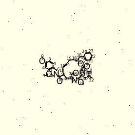 COc1ccc(CN(C)C(=O)C2C/C=C/CCC(Cc3ccccc3)OC(=O)N[C@@H](CC(C)C)C(=O)/N=C(\CO)C2)c(OC)c1